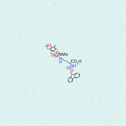 CN/C(=N\S(=O)(=O)c1c(C)c(C)c2c(c1C)CC(C)(C)O2)NCCCC[C@H](NC(=O)OCC1c2ccccc2-c2ccccc21)C(=O)O